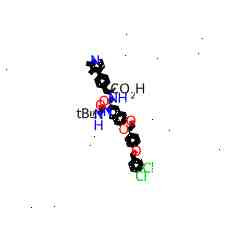 Cc1nccc(-c2ccc(C[C@H](NC(=O)[C@@H]3Cc4cc5c(cc4CN3C(=O)NC(C)(C)C)O[C@@H](c3ccc(OCc4ccc(Cl)c(Cl)c4)cc3)CO5)C(=O)O)cc2)c1C